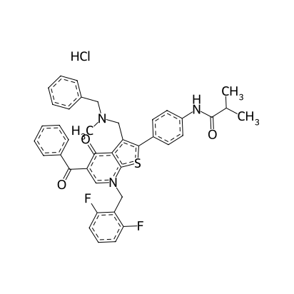 CC(C)C(=O)Nc1ccc(-c2sc3c(c2CN(C)Cc2ccccc2)c(=O)c(C(=O)c2ccccc2)cn3Cc2c(F)cccc2F)cc1.Cl